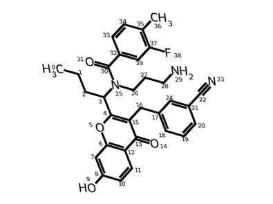 CCCC(c1oc2cc(O)ccc2c(=O)c1Cc1cccc(C#N)c1)N(CCCN)C(=O)c1ccc(C)c(F)c1